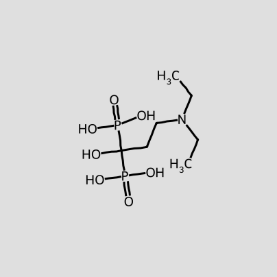 CCN(CC)CCC(O)(P(=O)(O)O)P(=O)(O)O